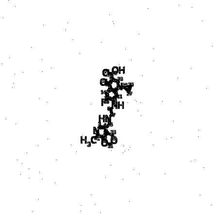 Cc1ncc(CNCCNc2cc3c(cc2F)c(=O)c(C(=O)O)cn3C2CC2)c2c1OCOC2